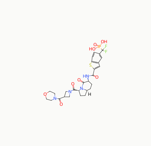 O=C(N[C@H]1CC[C@H]2CC[C@@H](C(=O)N3CC(C(=O)N4CCOCC4)C3)N2C1=O)c1cc2cc(C(F)(F)P(=O)(O)O)ccc2s1